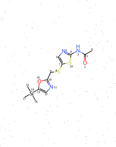 CC(=O)Nc1ncc(SCc2ncc([Si](C)(C)C)o2)s1